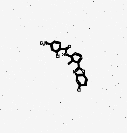 Cc1c(NC(=O)c2ccc([N+](=O)[O-])cc2Cl)cccc1-c1nc2cc(Cl)ccc2o1